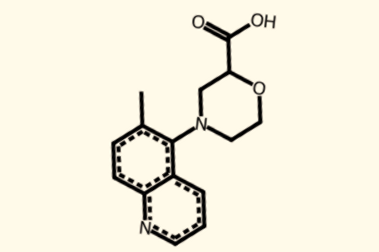 Cc1ccc2ncccc2c1N1CCOC(C(=O)O)C1